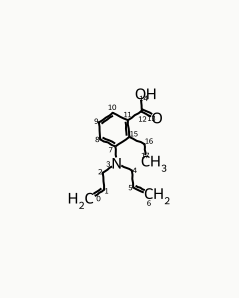 C=CCN(CC=C)c1cccc(C(=O)O)c1CC